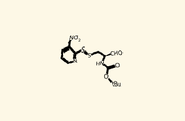 CC(C)(C)OC(=O)N[C@H]([C]=O)CSSc1ncccc1[N+](=O)[O-]